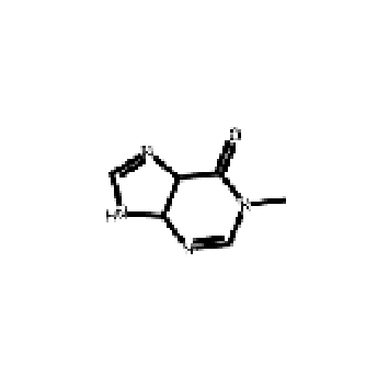 CN1C=NC2NC=NC2C1=O